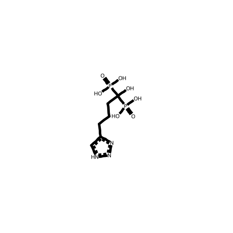 O=P(O)(O)C(O)(CCCc1c[nH]nn1)P(=O)(O)O